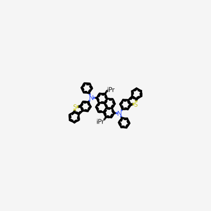 CC(C)c1cc(N(c2ccccc2)c2ccc3c(c2)sc2ccccc23)c2ccc3c(C(C)C)cc(N(c4ccccc4)c4ccc5c(c4)sc4ccccc45)c4ccc1c2c34